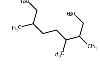 CC(C[CH]C(C)C(C)CC(C)(C)C)CC(C)(C)C